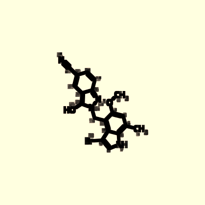 COc1cc(C)c2[nH]cc(Br)c2c1Cn1nc2ccc(C#N)cc2c1O